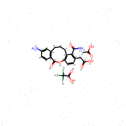 NC(=O)c1c([C@H](CC(=O)O)C(=O)O)ccc2c1CCCc1cc(N)ccc1C(=O)O2.O=C(O)C(F)(F)F